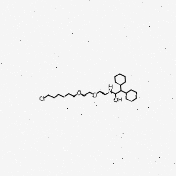 OC(NCCOCCOCCCCCCCl)C(C1CCCCC1)C1CCCCC1